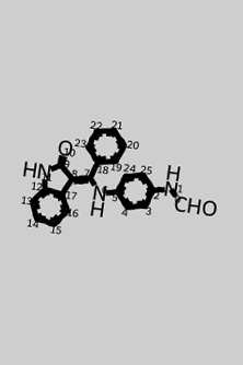 O=CNc1ccc(NC(=C2C(=O)Nc3ccccc32)c2ccccc2)cc1